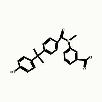 CN(C(=O)c1ccc(C(C)(C)c2ccc(O)cc2)cc1)c1cccc(C(=O)Cl)c1